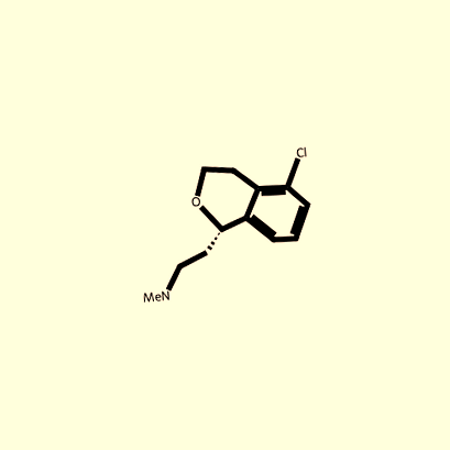 CNCC[C@@H]1OCCc2c(Cl)cccc21